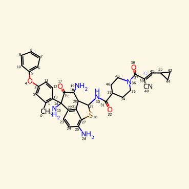 Cc1cc(Oc2ccccc2)ccc1C1(N)C(=O)C(N)C2c3c1ccc(N)c3SC2NC(=O)C1CCN(C(=O)/C(C#N)=C/C2CC2)CC1